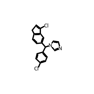 ClC1=CCc2ccc(C(c3ccc(Cl)cc3)n3ccnc3)cc21